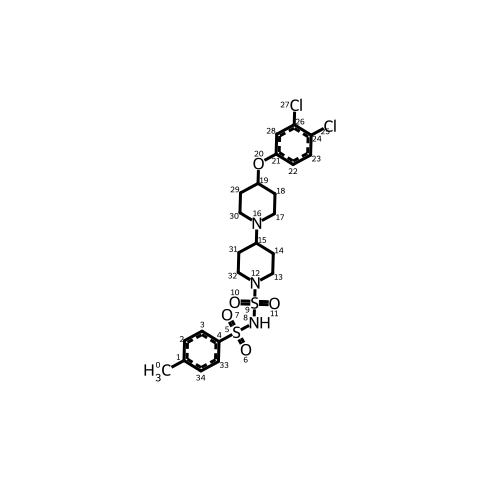 Cc1ccc(S(=O)(=O)NS(=O)(=O)N2CCC(N3CCC(Oc4ccc(Cl)c(Cl)c4)CC3)CC2)cc1